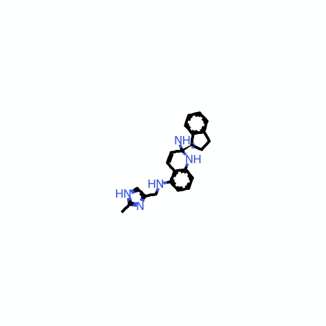 Cc1nc(CNc2cccc3c2C=CC(N)([C@@H]2CCc4ccccc42)N3)c[nH]1